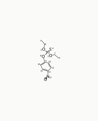 CCOP(=S)(OCC)Oc1ccc(N=O)cc1